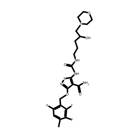 Cc1cc(F)c(COc2nsc(NC(=O)NCCCC(O)CN3CCOCC3)c2C(N)=O)c(F)c1F